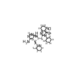 Cc1cccnc1C#Cc1c(N)ncnc1NCCc1nc2cccc(Cl)c2c(=O)n1-c1ccccc1